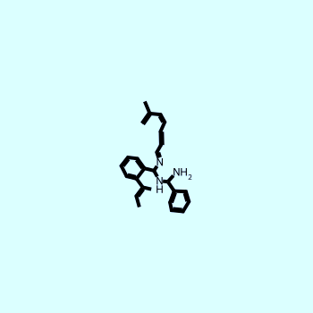 C=C(C)\C=C/C=C/C=N/C(NC(N)c1ccccc1)c1ccccc1/C(C)=C/C